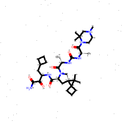 CC(C)[C@H](NC(=O)N[C@H](C(=O)N1C[C@]2(C[C@H]1C(=O)NC(CC1CCC1)C(=O)C(N)=O)C(C)(C)C21CCC1)C(C)(C)C)C(=O)N1CCN(C)CC1(C)C